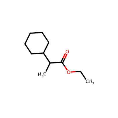 CCOC(=O)[C](C)C1CCCCC1